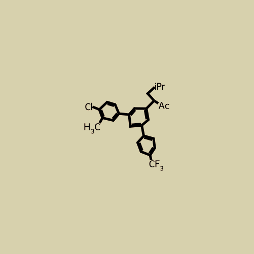 CC(=O)C(CC(C)C)c1cc(-c2ccc(C(F)(F)F)cc2)cc(-c2ccc(Cl)c(C)c2)c1